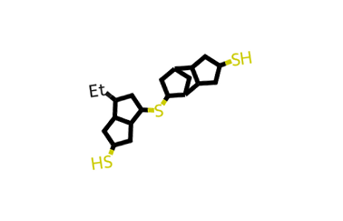 CCC1CC(SC2CC3CC2C2CC(S)CC32)C2CC(S)CC12